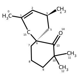 CC1=C[C@@H](C)C[C@]2(CCCC(C)(C)C2=O)C1